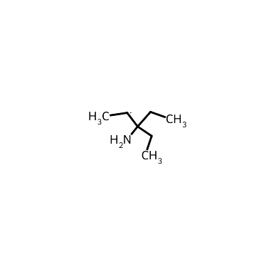 C[CH]C(N)(CC)CC